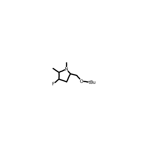 CC1C(F)CC(COC(C)(C)C)N1C